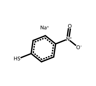 O=[N+]([O-])c1ccc(S)cc1.[Na+]